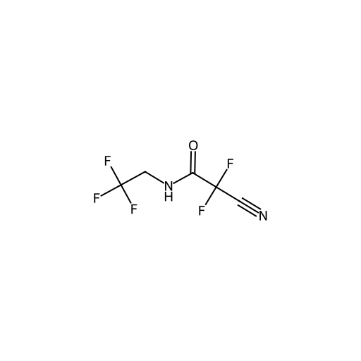 N#CC(F)(F)C(=O)NCC(F)(F)F